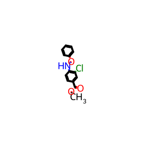 COC(=O)c1ccc(NOc2ccccc2)c(Cl)c1